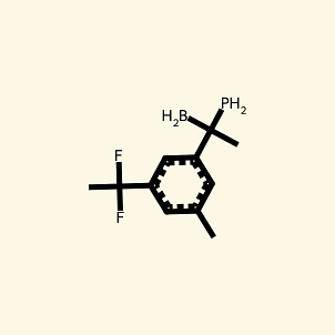 BC(C)(P)c1cc(C)cc(C(C)(F)F)c1